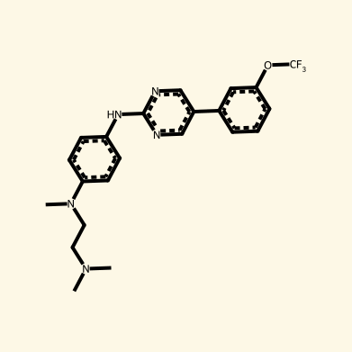 CN(C)CCN(C)c1ccc(Nc2ncc(-c3cccc(OC(F)(F)F)c3)cn2)cc1